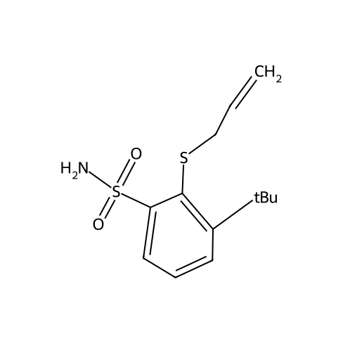 C=CCSc1c(C(C)(C)C)cccc1S(N)(=O)=O